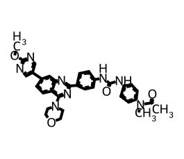 COc1ncc(-c2ccc3c(N4CCOCC4)nc(-c4ccc(NC(=O)Nc5ccc(N(C)C(C)=O)cc5)cc4)nc3c2)cn1